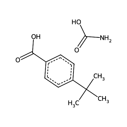 CC(C)(C)c1ccc(C(=O)O)cc1.NC(=O)O